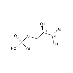 CC(=O)[C@H](O)[C@H](O)COP(=O)(O)O